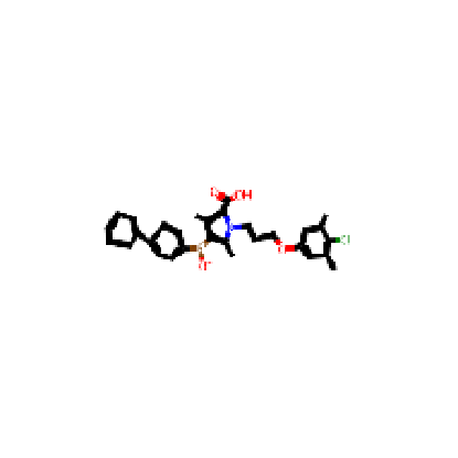 Cc1cc(OCCCn2c(C)c([S+]([O-])c3ccc(-c4ccccc4)cc3)c(C)c2C(=O)O)cc(C)c1Cl